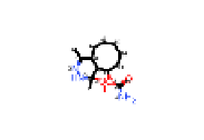 CC1=NNC(C)(O)C2C(OC(N)=O)CCCCCC12